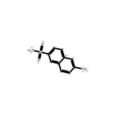 [CH2]c1ccc2cc(S(C)(=O)=O)ccc2c1